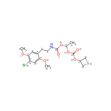 COc1cc(CCNC(=O)OC(C)OC(=O)OC2CSC2)c(OC)cc1Br